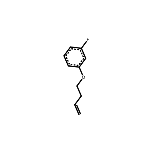 C=CCCOc1cc[c]c(F)c1